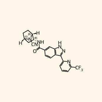 N#CN1[C@H]2CC[C@@H]1[C@H](NC(=O)c1ccc3c(-c4cccc(C(F)(F)F)n4)n[nH]c3c1)C2